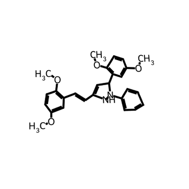 COc1ccc(OC)c(C=CC2=CC(c3cc(OC)ccc3OC)N(c3ccccc3)N2)c1